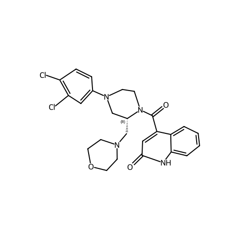 O=C(c1cc(=O)[nH]c2ccccc12)N1CCN(c2ccc(Cl)c(Cl)c2)C[C@H]1CN1CCOCC1